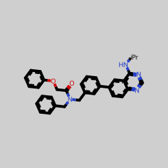 CC(C)Nc1ncnc2ccc(-c3cccc(CN(Cc4ccccc4)C(=O)COc4ccccc4)c3)cc12